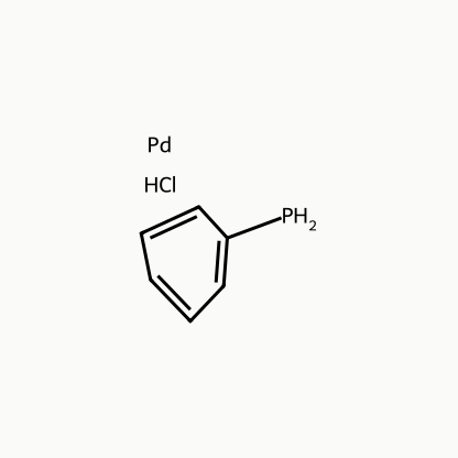 Cl.Pc1ccccc1.[Pd]